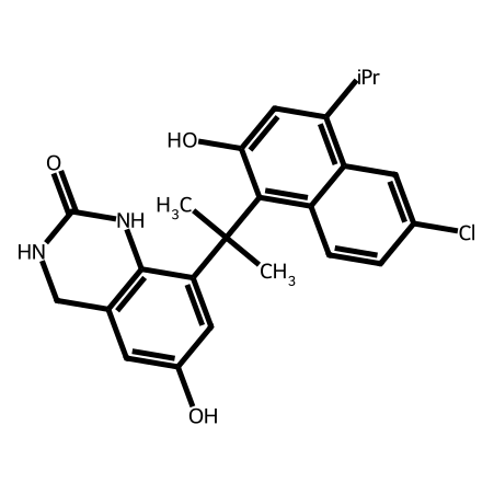 CC(C)c1cc(O)c(C(C)(C)c2cc(O)cc3c2NC(=O)NC3)c2ccc(Cl)cc12